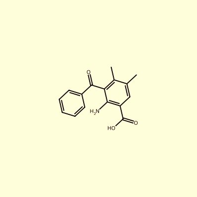 Cc1cc(C(=O)O)c(N)c(C(=O)c2ccccc2)c1C